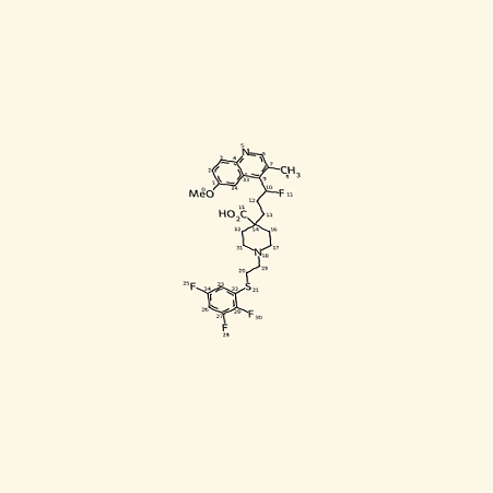 COc1ccc2ncc(C)c(C(F)CCC3(C(=O)O)CCN(CCSc4cc(F)cc(F)c4F)CC3)c2c1